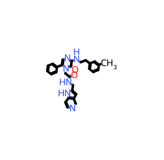 Cc1cccc(CCNc2ncc(-c3ccccc3)n(CC(=O)NCc3cc4cnccc4[nH]3)c2=O)c1